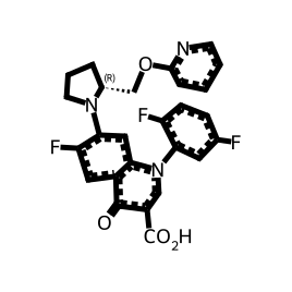 O=C(O)c1cn(-c2cc(F)ccc2F)c2cc(N3CCC[C@@H]3COc3ccccn3)c(F)cc2c1=O